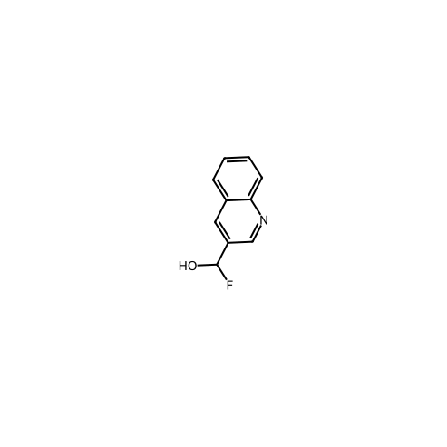 OC(F)c1cnc2ccccc2c1